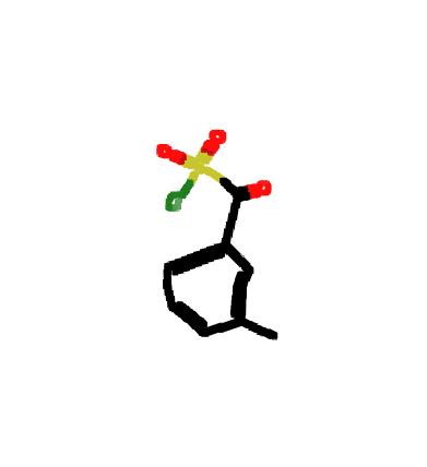 Cc1cccc(C(=O)S(=O)(=O)Cl)c1